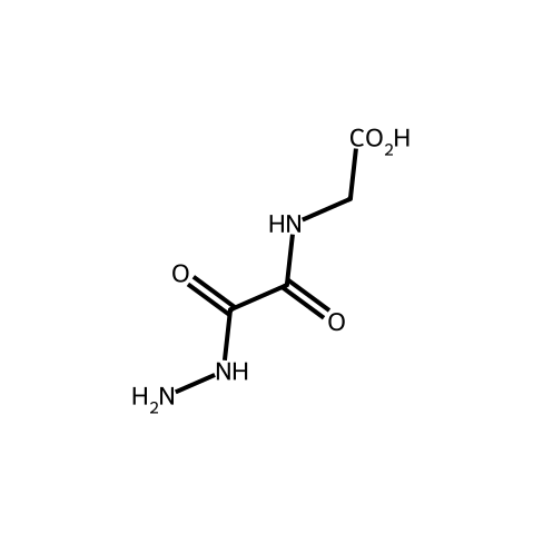 NNC(=O)C(=O)NCC(=O)O